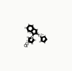 C1=CC[C]([Ti+2][C]2=Cc3ccccc3C2n2cccc2)=C1.[Cl-].[Cl-]